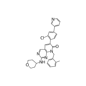 Cc1ccccc1Cn1c(=O)c(-c2ccc(-c3cccnc3)cc2Cl)cc2cnc(NC3CCOCC3)nc21